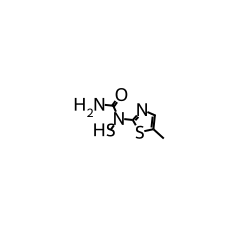 Cc1cnc(N(S)C(N)=O)s1